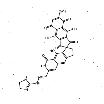 COC1=CC(=O)c2c(O)c3c(c(O)c2C1=O)C(=O)C1(CCc2cc4cc(/C=N/NC5=NCCN5)[nH]c(=O)c4c(O)c21)C3=O